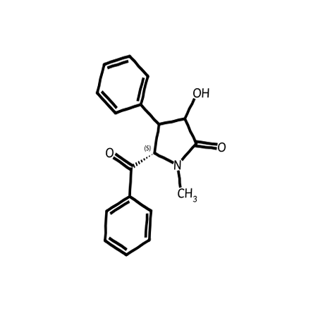 CN1C(=O)C(O)C(c2ccccc2)[C@H]1C(=O)c1ccccc1